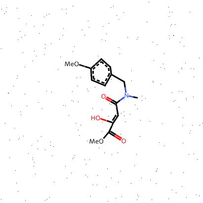 COC(=O)/C(O)=C/C(=O)N(C)Cc1ccc(OC)cc1